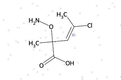 C/C(Cl)=C\C(C)(ON)C(=O)O